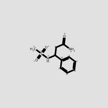 CS(=O)(=O)NC(CC(N)=O)c1ccccc1